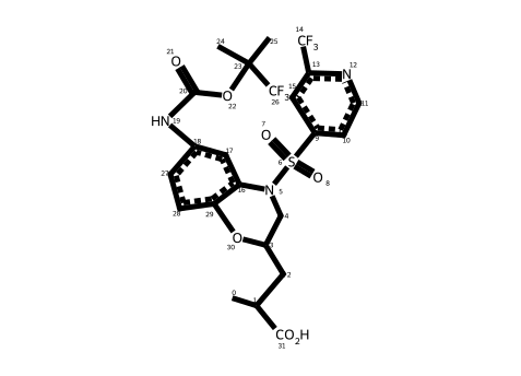 CC(CC1CN(S(=O)(=O)c2ccnc(C(F)(F)F)c2)c2cc(NC(=O)OC(C)(C)C(F)(F)F)ccc2O1)C(=O)O